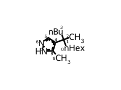 CCCCCCC(C)(CCCC)c1cn[nH]c1C